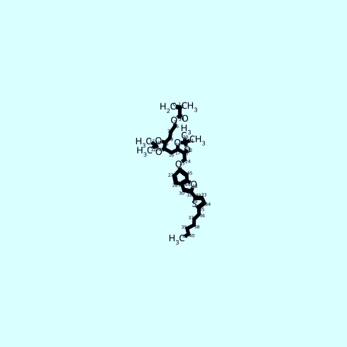 C=C(C)C(=O)OCCCC1OC(C)(C)OC1CC1OC(C)(C)OC1COc1ccc2cc(-c3ccc(CCCCCC)s3)oc2c1